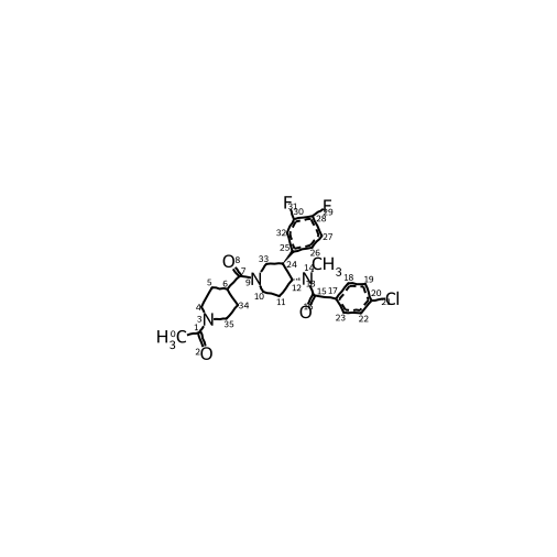 CC(=O)N1CCC(C(=O)N2CC[C@@H](N(C)C(=O)c3ccc(Cl)cc3)[C@H](c3ccc(F)c(F)c3)C2)CC1